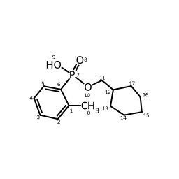 Cc1ccccc1P(=O)(O)OCC1CCCCC1